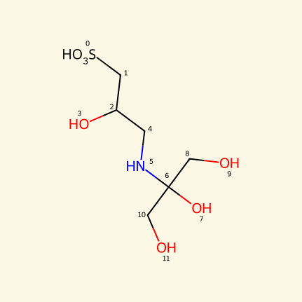 O=S(=O)(O)CC(O)CNC(O)(CO)CO